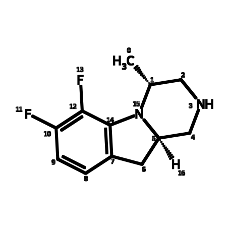 C[C@@H]1CNC[C@H]2Cc3ccc(F)c(F)c3N21